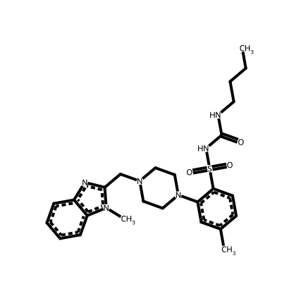 CCCCNC(=O)NS(=O)(=O)c1ccc(C)cc1N1CCN(Cc2nc3ccccc3n2C)CC1